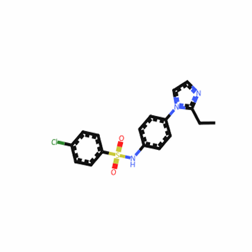 CCc1nccn1-c1ccc(NS(=O)(=O)c2ccc(Cl)cc2)cc1